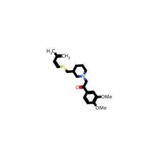 C=C(C)/C=C\SCC1CCCN(CC(=O)c2ccc(OC)c(OC)c2)C1